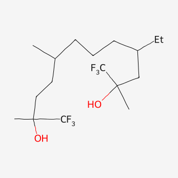 CCC(CCCC(C)CCC(C)(O)C(F)(F)F)CC(C)(O)C(F)(F)F